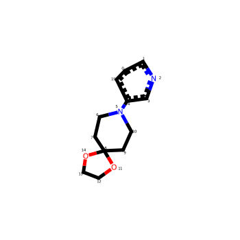 c1cncc(N2CCC3(CC2)OCCO3)c1